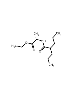 CCCC(CCC)C(=O)N[C@@H](C)C(=O)OCC